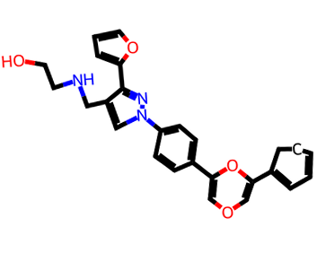 OCCNCc1cn(-c2ccc(C3=COC=C(C4=CC=CCC4)O3)cc2)nc1-c1ccco1